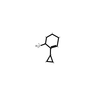 CC1CCCC=C1C1CC1